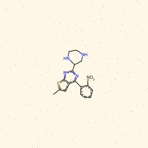 Cc1cc2c(-c3ccccc3[N+](=O)[O-])nc(C3CNCCN3)nc2s1